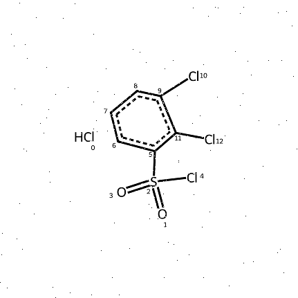 Cl.O=S(=O)(Cl)c1cccc(Cl)c1Cl